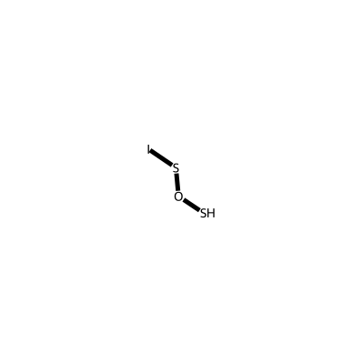 SOSI